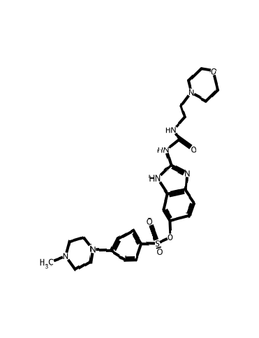 CN1CCN(c2ccc(S(=O)(=O)Oc3ccc4nc(NC(=O)NCCN5CCOCC5)[nH]c4c3)cc2)CC1